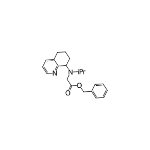 CC(C)N(CC(=O)OCc1ccccc1)C1CCCc2cccnc21